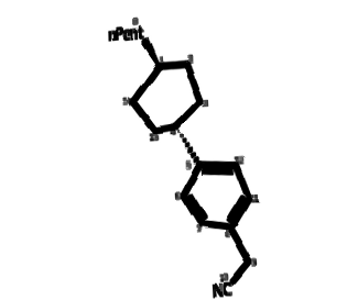 CCCCC[C@H]1CC[C@H](c2ccc(CC#N)cc2)CC1